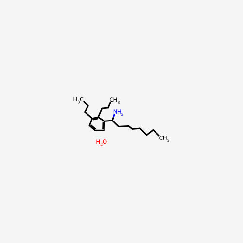 CCCCCCCC(N)c1cccc(CCC)c1CCC.O